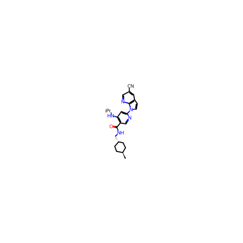 CC(C)Nc1cc(-n2ccc3cc(C#N)cnc32)ncc1C(=O)NC[C@H]1CC[C@H](C)CC1